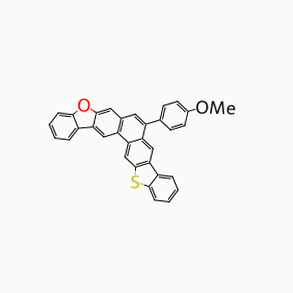 COc1ccc(-c2cc3cc4oc5ccccc5c4cc3c3cc4sc5ccccc5c4cc23)cc1